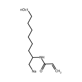 C=CC(=O)NC([CH2][Na])CCCCCCCCCCCCCC